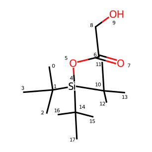 CC(C)(C)[Si](OC(=O)CO)(C(C)(C)C)C(C)(C)C